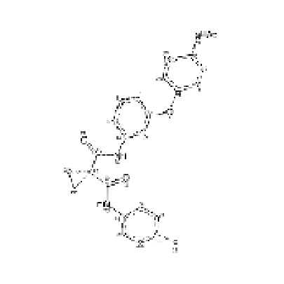 CC(=O)Nc1ccc(Oc2cccc(NC(=O)C3(C(=O)Nc4ccc(F)cc4)CC3)c2)cn1